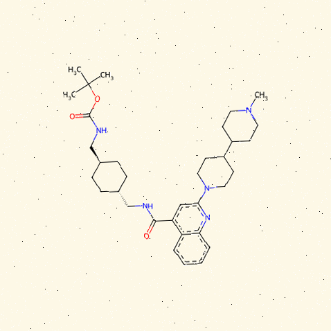 CN1CCC(C2CCN(c3cc(C(=O)NC[C@H]4CC[C@H](CNC(=O)OC(C)(C)C)CC4)c4ccccc4n3)CC2)CC1